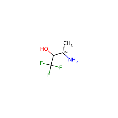 C[C@H](N)C(O)C(F)(F)F